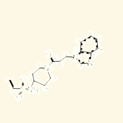 C=CS(=O)(=O)NC1CCN(C(=O)CCn2cnc3ccccc32)CC1